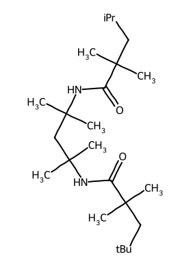 CC(C)CC(C)(C)C(=O)NC(C)(C)CC(C)(C)NC(=O)C(C)(C)CC(C)(C)C